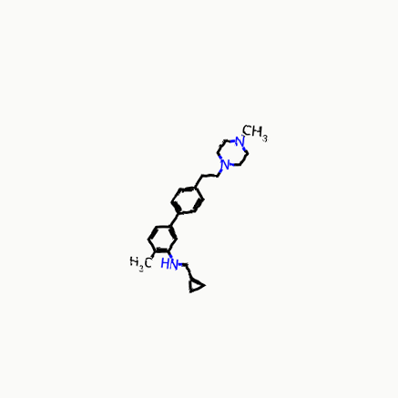 Cc1ccc(-c2ccc(CCN3CCN(C)CC3)cc2)cc1NCC1CC1